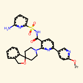 CC(C)Oc1ccc(-c2ccc(C(=O)NS(=O)(=O)c3cccc(N)n3)c(N3CCC4(CC3)OCc3ccccc34)n2)cn1